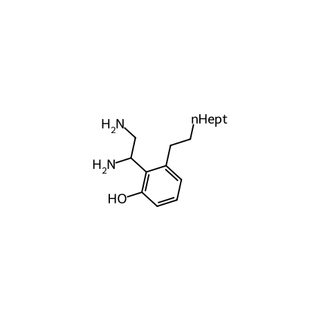 CCCCCCCCCc1cccc(O)c1C(N)CN